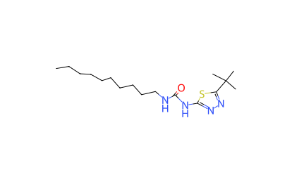 CCCCCCCCCCNC(=O)Nc1nnc(C(C)(C)C)s1